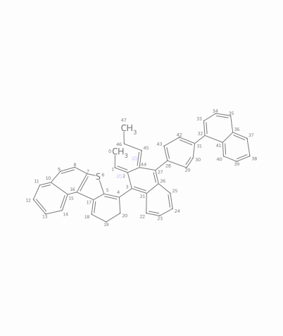 C/C=c1/c(C2=c3sc4ccc5ccccc5c4c3=CCC2)c2ccccc2c(-c2ccc(-c3cccc4ccccc34)cc2)/c1=C/CC